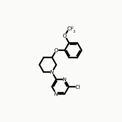 FC(F)(F)Oc1ccccc1OC1CCCN(c2cncc(Cl)n2)C1